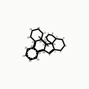 C1=C2CCCC3CCCCC23C23CCCCC24CCCCC4=c2ccccc2=C13